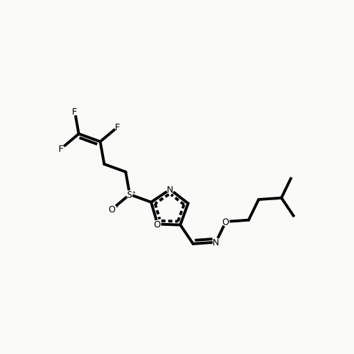 CC(C)CCO/N=C\c1cnc([S+]([O-])CCC(F)=C(F)F)o1